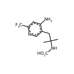 CC(C)(Cc1cnc(C(F)(F)F)cc1N)NC(=O)O